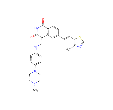 Cc1ncsc1/C=C/c1ccc2c(c1)/C(=C/Nc1ccc(N3CCN(C)CC3)cc1)C(=O)NC2=O